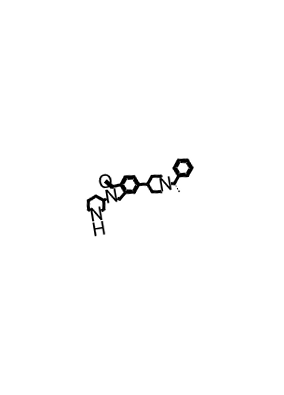 C[C@@H](c1ccccc1)N1CCC(c2ccc3c(c2)CN(C2CCCNC2)C3=O)CC1